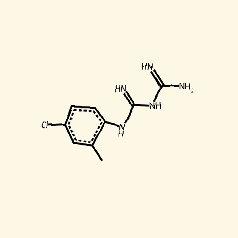 Cc1cc(Cl)ccc1NC(=N)NC(=N)N